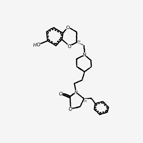 O=C1OC[C@H](Cc2ccccc2)N1CCC1CCN(C[C@H]2COc3ccc(O)cc3O2)CC1